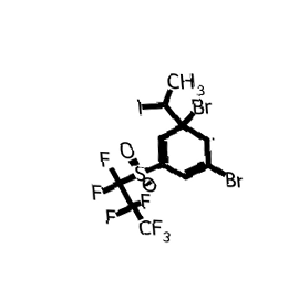 CC(I)C1(Br)[CH]C(Br)=CC(S(=O)(=O)C(F)(F)C(F)(F)C(F)(F)F)=C1